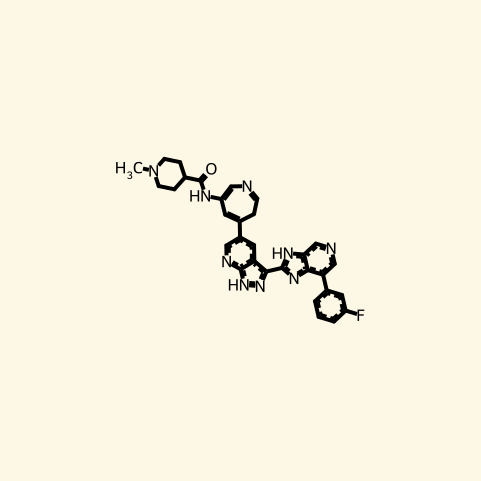 CN1CCC(C(=O)NC2=CN=CCC(c3cnc4[nH]nc(-c5nc6c(-c7cccc(F)c7)cncc6[nH]5)c4c3)=C2)CC1